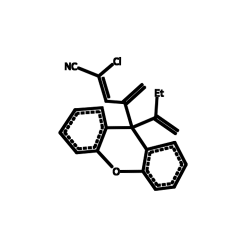 C=C(/C=C(\Cl)C#N)C1(C(=C)CC)c2ccccc2Oc2ccccc21